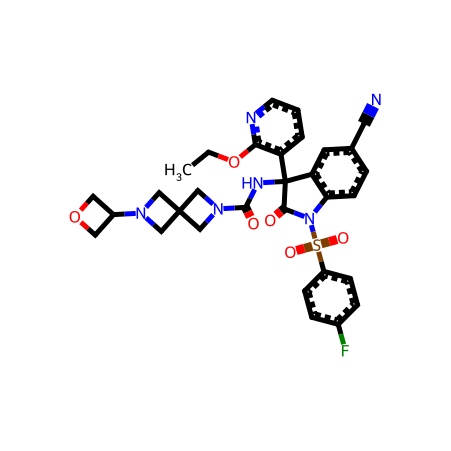 CCOc1ncccc1C1(NC(=O)N2CC3(C2)CN(C2COC2)C3)C(=O)N(S(=O)(=O)c2ccc(F)cc2)c2ccc(C#N)cc21